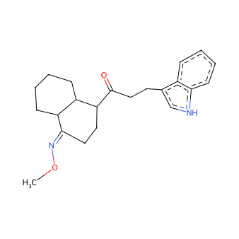 CON=C1CCC(C(=O)CCc2c[nH]c3ccccc23)C2CCCCC12